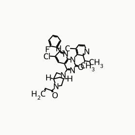 C=CC(=O)N1C[C@@H]2C[C@H]1CN2c1nc(=O)n(-c2c(C)ccnc2C(C)C)c2nc(-c3ccccc3F)c(Cl)cc12